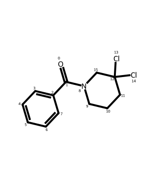 O=C(c1ccccc1)N1CCCC(Cl)(Cl)C1